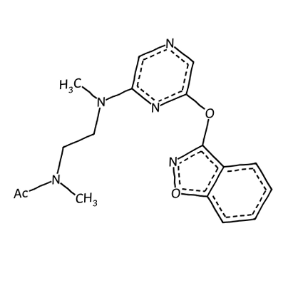 CC(=O)N(C)CCN(C)c1cncc(Oc2noc3ccccc23)n1